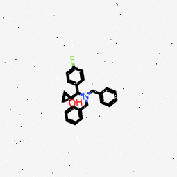 OC1(C(c2ccc(F)cc2)N(Cc2ccccc2)Cc2ccccc2)CC1